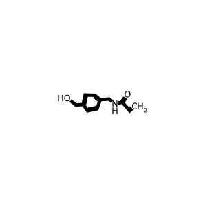 C=CC(=O)NCc1ccc(CO)cc1